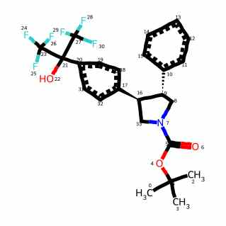 CC(C)(C)OC(=O)N1C[C@@H](c2ccccc2)[C@H](c2ccc(C(O)(C(F)(F)F)C(F)(F)F)cc2)C1